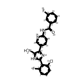 Nc1[nH]c(-c2c(F)cccc2Cl)nc1-c1ccc(NC(=O)c2cccc(F)c2)nc1